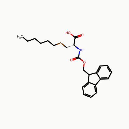 CCCCCCSC[C@@H](NC(=O)OCC1c2ccccc2-c2ccccc21)C(=O)O